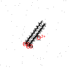 CCCCCCCCC=CCCCCCCCC(=O)[O-].CCCCCCCCC=CCCCCCCCC(=O)[O-].[O+2]